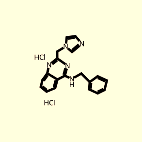 Cl.Cl.c1ccc(CNc2nc(Cn3ccnc3)nc3ccccc23)cc1